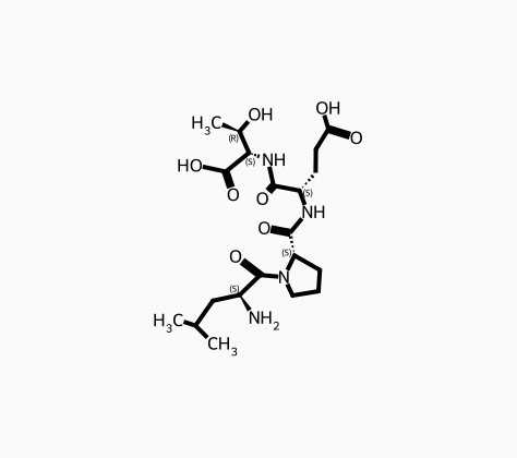 CC(C)C[C@H](N)C(=O)N1CCC[C@H]1C(=O)N[C@@H](CCC(=O)O)C(=O)N[C@H](C(=O)O)[C@@H](C)O